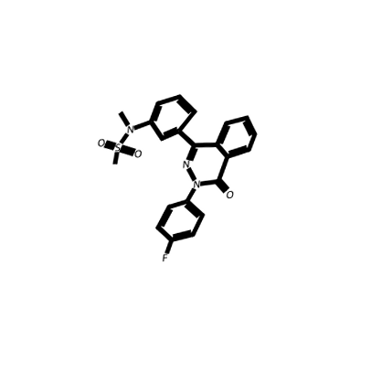 CN(c1cccc(-c2nn(-c3ccc(F)cc3)c(=O)c3ccccc23)c1)S(C)(=O)=O